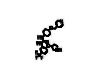 O=C(Nc1cc(C(F)(F)F)ccc1OC1CCNC1)NC1CCC(OCc2ccncc2)CC1